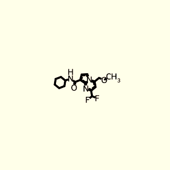 COCc1cc(C(F)F)nc2c(C(=O)NC3CCCCC3)ccn12